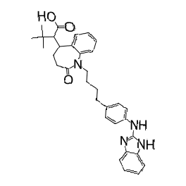 CC(C)(C)C(C(=O)O)C1CCC(=O)N(CCCCc2ccc(Nc3nc4ccccc4[nH]3)cc2)c2ccccc21